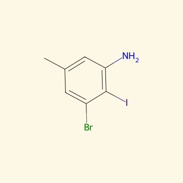 Cc1cc(N)c(I)c(Br)c1